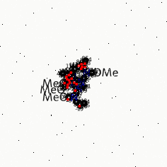 COc1ccc(N(c2ccc3c(c2)-c2ccccc2C3(C)C)c2ccc3c(c2)c2cc(N(c4ccc(OC)cc4)c4ccc5c(c4)-c4ccccc4C5(C)C)ccc2n3C2C(C)C(C)C2n2c3ccc(N(c4ccc(OC)cc4)c4ccc5c(c4)-c4ccccc4C5(C)C)cc3c3cc(N(c4ccc(OC)cc4)c4ccc5c(c4)-c4ccccc4C5(C)C)ccc32)cc1